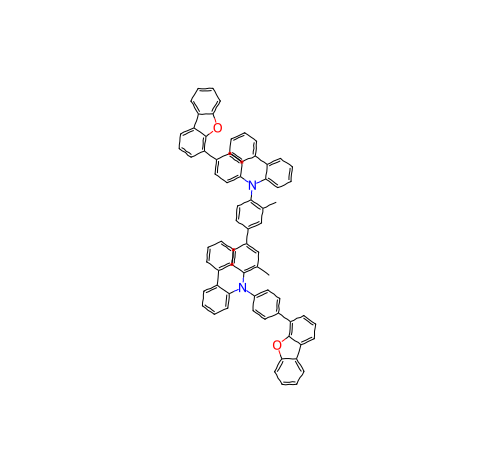 Cc1cc(-c2ccc(N(c3ccc(-c4cccc5c4oc4ccccc45)cc3)c3ccccc3-c3ccccc3)c(C)c2)ccc1N(c1ccc(-c2cccc3c2oc2ccccc23)cc1)c1ccccc1-c1ccccc1